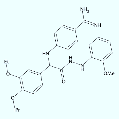 CCOc1cc(C(Nc2ccc(C(=N)N)cc2)C(=O)NNc2ccccc2OC)ccc1OC(C)C